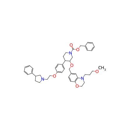 COCCCN1CCOc2ccc(COC3CN(C(=O)OCc4ccccc4)CCC3c3ccc(OCCN4CCC(c5ccccc5)C4)cc3)cc21